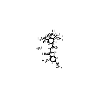 Br.COc1cc(C)c2c(c1)CN(CC(=O)c1cc(C(C)(C)C)c(O)c(C(C)(C)C)c1)C2=N